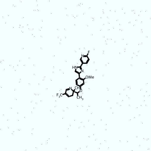 COc1cc(OC(C)C2(C)CC=C(C(F)(F)F)C=N2)ccc1-c1c[nH]c(-c2ccc(F)nc2)n1